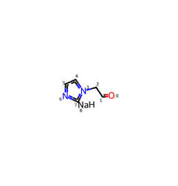 O=CCn1ccnc1.[NaH]